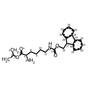 CC(C)OC(=O)[C@H](N)CCCCNC(=O)OCC1c2ccccc2-c2ccccc21